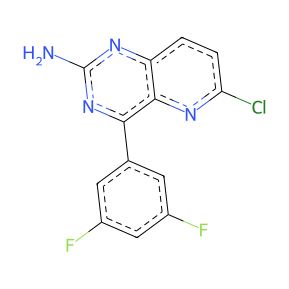 Nc1nc(-c2cc(F)cc(F)c2)c2nc(Cl)ccc2n1